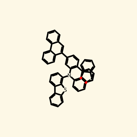 c1ccc(-c2ccc(-c3cc4ccccc4c4ccccc34)cc2N(c2cccc3c2sc2ccccc23)c2cccc3sc4ccccc4c23)cc1